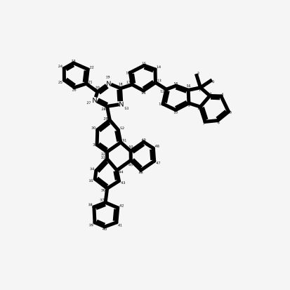 CC1(C)c2ccccc2-c2ccc(-c3cccc(-c4nc(-c5ccccc5)nc(-c5ccc6c7ccc(-c8ccccc8)cc7c7ccccc7c6c5)n4)c3)cc21